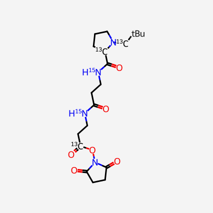 [13CH3][13C]([13CH3])([13CH3])[13CH2]N1CCC[13CH]1C(=O)[15NH]CCC(=O)[15NH]CC[13C](=O)ON1C(=O)CCC1=O